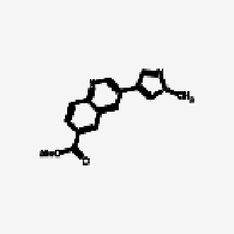 COC(=O)c1ccc2ncc(-c3cnn(C)c3)cc2c1